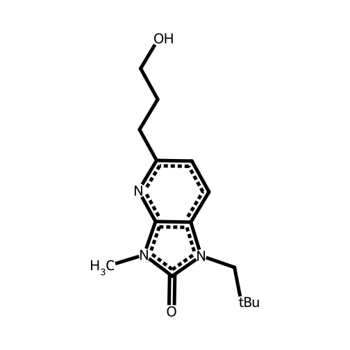 Cn1c(=O)n(CC(C)(C)C)c2ccc(CCCO)nc21